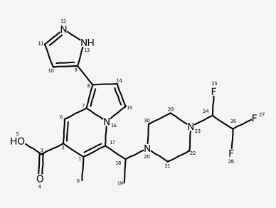 Cc1c(C(=O)O)cc2c(-c3ccn[nH]3)ccn2c1C(C)N1CCN(C(F)C(F)F)CC1